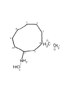 Cl.N[C]1CCCCCCCC1.[CH2].[CH2]